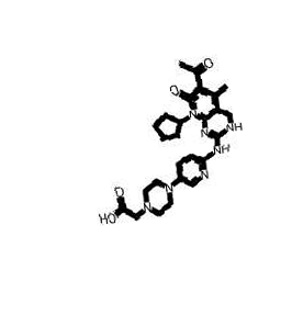 CC(=O)c1c(C)c2c(n(C3CCCC3)c1=O)N=C(Nc1ccc(N3CCN(CC(=O)O)CC3)cn1)NC2